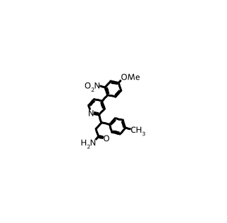 COc1ccc(-c2ccnc(C(CC(N)=O)c3ccc(C)cc3)c2)c([N+](=O)[O-])c1